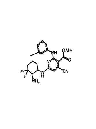 COC(=O)c1c(C#N)cc(NC2CCCC(F)(F)[C@@H]2N)nc1Nc1cccc(C)c1